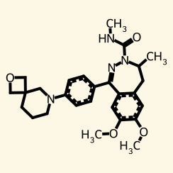 CNC(=O)N1N=C(c2ccc(N3CCCC4(COC4)C3)cc2)c2cc(OC)c(OC)cc2CC1C